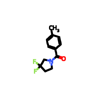 Cc1ccc(C(=O)N2CCC(F)(F)C2)cc1